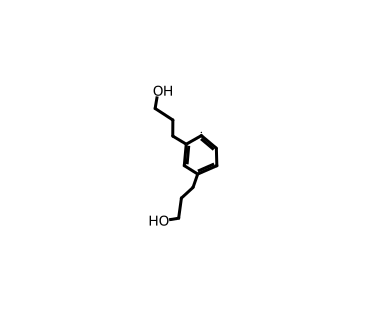 OCCCc1[c]ccc(CCCO)c1